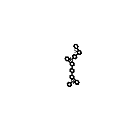 c1ccc(-n2c3ccccc3c3cc(-c4ccc(-c5ccc6c(c5)c5ccccc5n6-c5ccc(-c6cccc7c6sc6ccccc67)cc5)cc4)ccc32)cc1